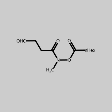 CCCCCCC(=O)ON(C)C(=O)CCC=O